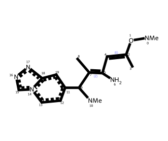 CNO/C(C)=C/C(N)=C(\C)C(NC)c1ccn2cnnc2c1